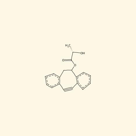 C[C@H](O)C(=O)OC1Cc2ccccc2C#Cc2ccccc21